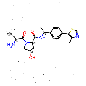 Cc1ncsc1-c1ccc([C@H](C)NC(=O)[C@H]2C[C@H](O)CN2C(=O)[C@@H](N)C(C)(C)C)cc1